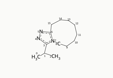 CC(C)c1nnc2n1CCCCCCCC2